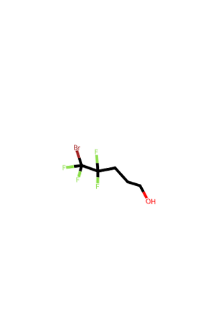 OCCCC(F)(F)C(F)(F)Br